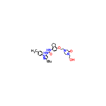 Cc1ccc(-n2nc(C(C)(C)C)cc2NC(=O)Nc2ccc(OCCN3CCN(CCO)C(=O)C3)c3c2CCC3)cc1